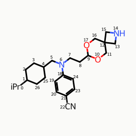 CC(C)C1CCC(CN(CCC2OCC3(CNC3)CO2)c2ccc(C#N)cc2)CC1